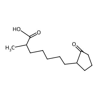 CC(CCCCCC1CCCC1=O)C(=O)O